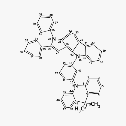 CC1(C)c2ccccc2N(c2cccc(-n3c4ccccc4c4ccc5c(cc(-c6ccccc6)n5-c5ccccc5)c43)c2)c2ccccc21